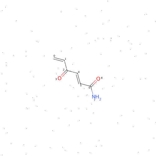 C=CC(=O)C=CC(N)=O